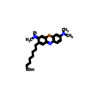 CCCCCCCCCCCCCCCCCc1cc2nc3ccc(N(C)C)cc3sc-2c/c1=[N+](/C)CC